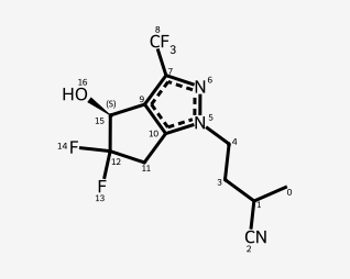 CC(C#N)CCn1nc(C(F)(F)F)c2c1CC(F)(F)[C@H]2O